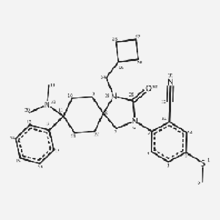 CSc1ccc(N2CC3(CCC(c4ccccc4)(N(C)C)CC3)N(CC3CCC3)C2=O)c(C#N)c1